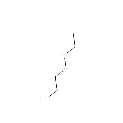 CCNOCCO